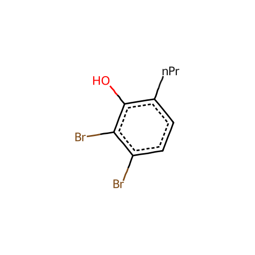 CCCc1ccc(Br)c(Br)c1O